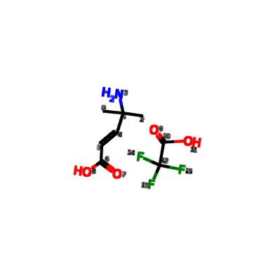 CC(C)(N)/C=C/C(=O)O.O=C(O)C(F)(F)F